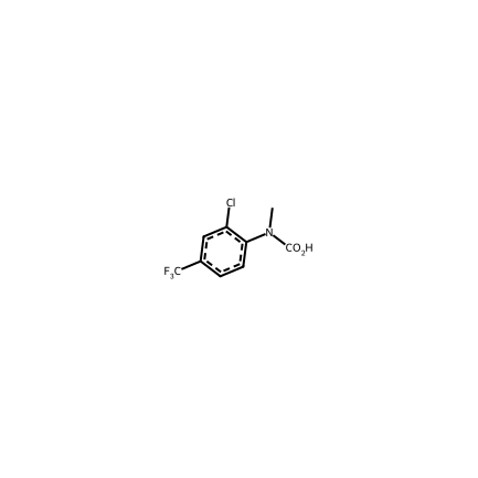 CN(C(=O)O)c1ccc(C(F)(F)F)cc1Cl